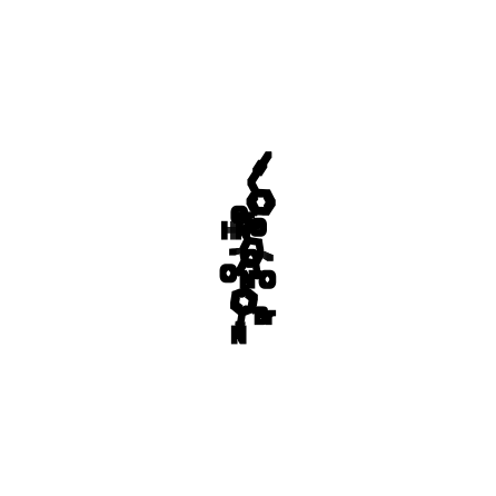 CC#CCc1cccc(S(=O)(=O)NC2C[C@@]3(C)O[C@]2(C)C2C(=O)N(c4ccc(C#N)c(Br)c4)C(=O)C23)c1